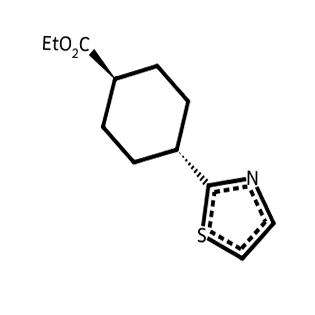 CCOC(=O)[C@H]1CC[C@H](c2nccs2)CC1